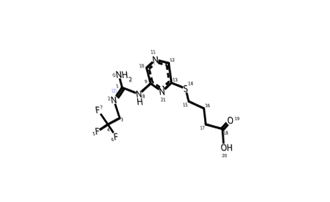 N/C(=N/CC(F)(F)F)Nc1cncc(SCCCC(=O)O)n1